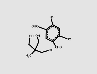 CC(C)c1cc(C(C)C)c(C=O)cc1C=O.CC(CO)(CO)CO